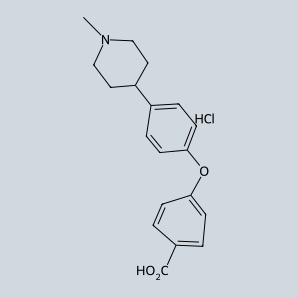 CN1CCC(c2ccc(Oc3ccc(C(=O)O)cc3)cc2)CC1.Cl